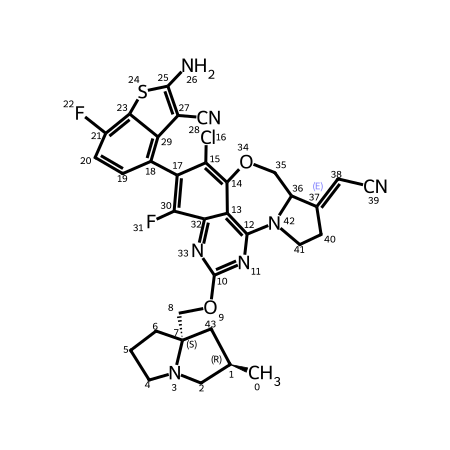 C[C@H]1CN2CCC[C@@]2(COc2nc3c4c(c(Cl)c(-c5ccc(F)c6sc(N)c(C#N)c56)c(F)c4n2)OCC2/C(=C/C#N)CCN32)C1